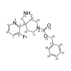 NCC1(c2ncccc2F)CCN(C(=O)OCc2ccccc2)CC1